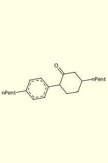 CCCCCc1ccc(C2CCC(CCCCC)CC2=O)cc1